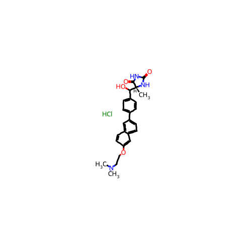 CN(C)CCOc1ccc2cc(-c3ccc(C(O)[C@@]4(C)NC(=O)NC4=O)cc3)ccc2c1.Cl